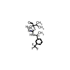 C/N=C(/N[C@@H](C)c1cccc(C(F)(F)F)c1)SC(C)(C=O)C(C)C